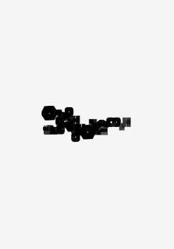 CC(C)(C)OC(=O)C(CNC(=O)c1ccc2[nH]c(CCC(=O)O)nc2c1)NC(=O)OCc1ccccc1